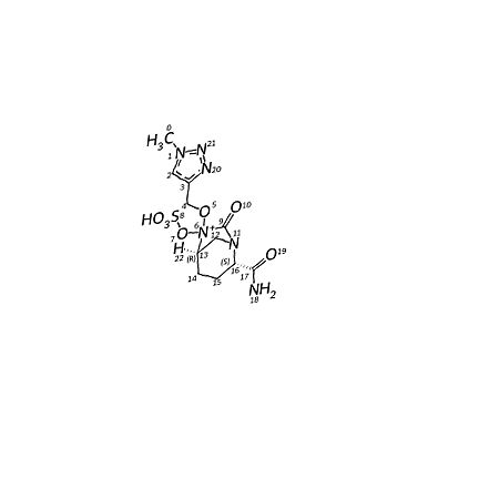 Cn1cc(CO[N+]2(OS(=O)(=O)O)C(=O)N3C[C@H]2CC[C@H]3C(N)=O)nn1